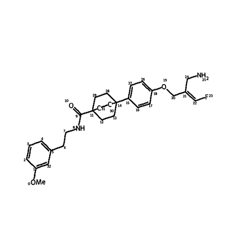 COc1cccc(CCNC(=O)C23CCC(c4ccc(OCC(=CF)CN)cc4)(CC2)CC3)c1